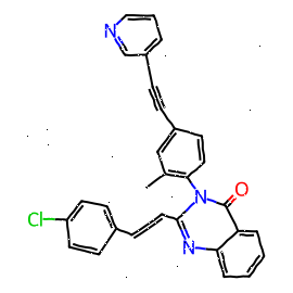 Cc1cc(C#Cc2cccnc2)ccc1-n1c(C=Cc2ccc(Cl)cc2)nc2ccccc2c1=O